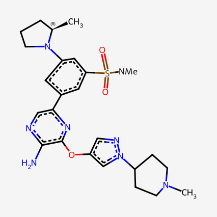 CNS(=O)(=O)c1cc(-c2cnc(N)c(Oc3cnn(C4CCN(C)CC4)c3)n2)cc(N2CCC[C@H]2C)c1